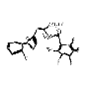 O=C(O)C(=Cc1ccc(-c2ccccc2Cl)s1)NC(=O)c1c(F)c(F)c(F)c(F)c1F